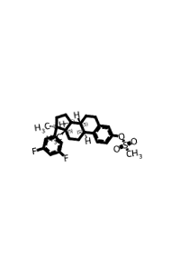 C[C@]12CC[C@@H]3c4ccc(OS(C)(=O)=O)cc4CC[C@H]3[C@@H]1CC[C@]2(C)c1cc(F)cc(F)c1